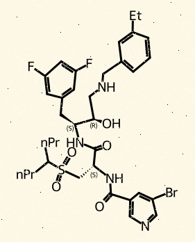 CCCC(CCC)S(=O)(=O)C[C@@H](NC(=O)c1cncc(Br)c1)C(=O)N[C@@H](Cc1cc(F)cc(F)c1)[C@H](O)CNCc1cccc(CC)c1